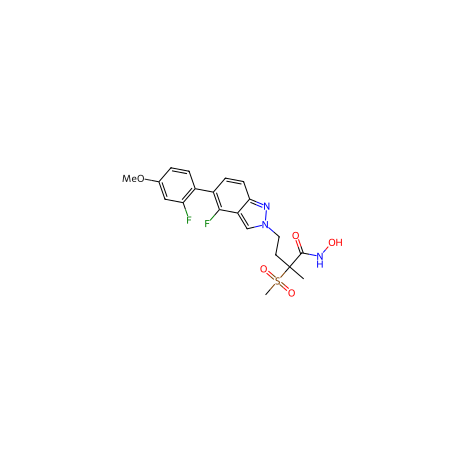 COc1ccc(-c2ccc3nn(CCC(C)(C(=O)NO)S(C)(=O)=O)cc3c2F)c(F)c1